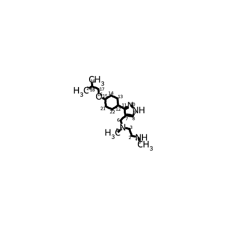 CNCCN(C)Cc1c[nH]nc1C1CCC(OCC(C)C)CC1